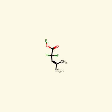 CCOC(=O)C(C)=CC(F)(F)C(=O)OF